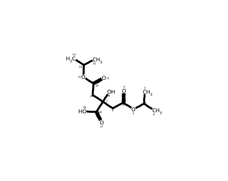 CC(C)OC(=O)CC(O)(CC(=O)OC(C)C)C(=O)O